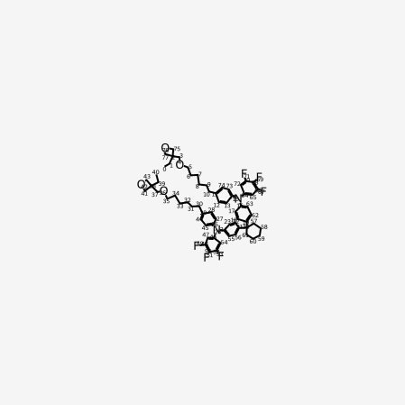 CCC1(COCCCCCCc2ccc(N(c3ccc(C4(c5ccc(N(c6ccc(CCCCCCOCC7(CC)COC7)cc6)c6cc(F)c(F)c(F)c6)cc5)CCCCC4)cc3)c3cc(F)c(F)c(F)c3)cc2)COC1